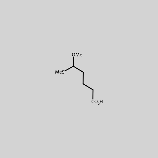 COC(CCCC(=O)O)SC